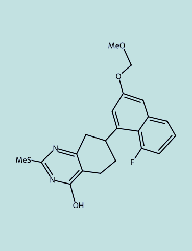 COCOc1cc(C2CCc3c(O)nc(SC)nc3C2)c2c(F)cccc2c1